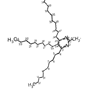 [CH2]c1nc(CCCCCCCCCC)c(CCCCCCCCCC)c(CCCCCCCCCC)n1